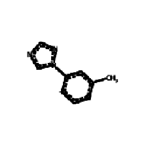 Cc1cc[c]c(-n2cncn2)c1